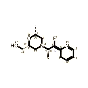 C[C@@H]1CN([C@H](C)/C(F)=C2\CC=CC=N2)C[C@H](CO)O1